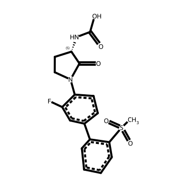 CS(=O)(=O)c1ccccc1-c1ccc(N2CC[C@H](NC(=O)O)C2=O)c(F)c1